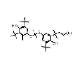 Cc1c(SC(C)(C)Sc2cc(C(C)(C)C)c(O)c(C(C)(C)CCO)c2)cc(C(C)(C)C)c(O)c1C(C)(C)C